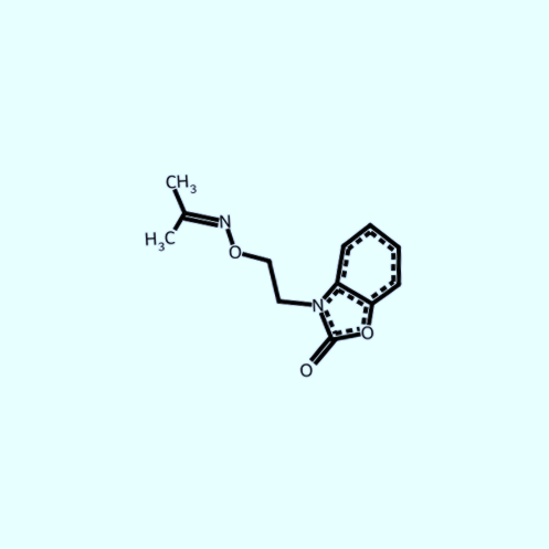 CC(C)=NOCCn1c(=O)oc2ccccc21